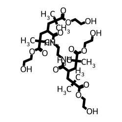 CC(C)(CC(CC(C)(C)C(=O)OCCO)C(=O)NCCNC(=O)C(CC(C)(C)C(=O)OCCO)CC(C)(C)C(=O)OCCO)C(=O)OCCO